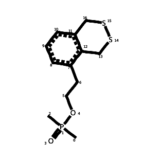 CP(C)(=O)OCCc1cccc2c1CSSC2